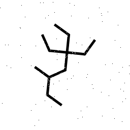 CCC(C)CC(CC)(CC)CC